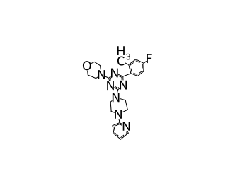 Cc1cc(F)ccc1-c1nc(N2CCOCC2)nc(N2CCN(c3ccccn3)CC2)n1